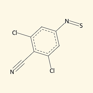 N#Cc1c(Cl)cc(N=S)cc1Cl